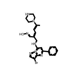 C\C(=C/C=C(\C=N\O)CNc1cc(-c2ccccc2)nc2c(Br)cnn12)N1CCNCC1